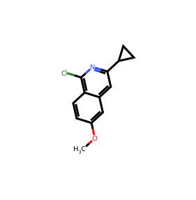 COc1ccc2c(Cl)nc(C3CC3)cc2c1